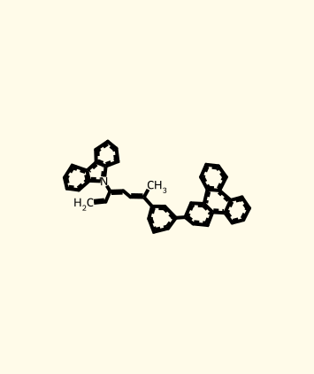 C=C/C(=C\C=C(/C)c1cccc(-c2ccc3c4ccccc4c4ccccc4c3c2)c1)n1c2ccccc2c2ccccc21